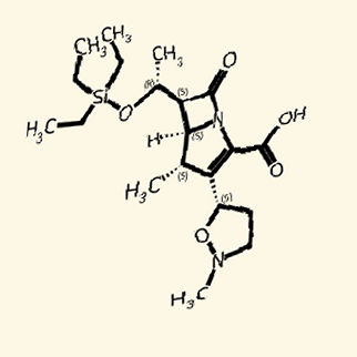 CC[Si](CC)(CC)O[C@H](C)[C@H]1C(=O)N2C(C(=O)O)=C([C@@H]3CCN(C)O3)[C@H](C)[C@@H]12